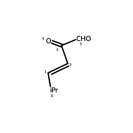 CC(C)/C=C/C(=O)C=O